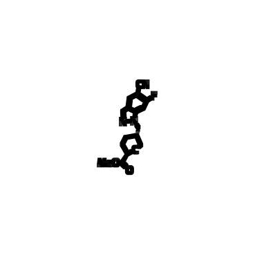 COC(=O)[C@H]1CC[C@H](Cn2ncc3cc(C#N)c(F)cc32)CC1